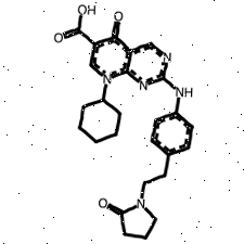 O=C(O)c1cn(C2CCCCC2)c2nc(Nc3ccc(CCN4CCCC4=O)cc3)ncc2c1=O